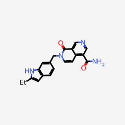 CCc1cc2ccc(Cn3ccc4c(C(N)=O)cncc4c3=O)cc2[nH]1